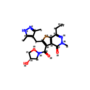 Cc1n[nH]c(C)c1Cc1sc2c(CC(C)C)nn(C)c(=O)c2c1C(=O)N1C[C@H](O)CO1